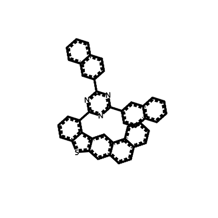 c1ccc2cc(-c3nc(-c4ccc5ccccc5c4)nc(-c4cccc5sc6cc7ccc8ccccc8c7cc6c45)n3)ccc2c1